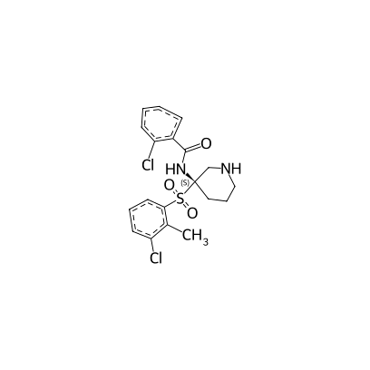 Cc1c(Cl)cccc1S(=O)(=O)[C@@]1(NC(=O)c2ccccc2Cl)CCCNC1